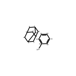 C1C2CC3CC1CC(C2)C3.Ic1ccccc1